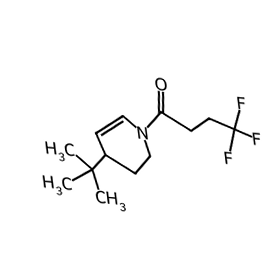 CC(C)(C)C1C=CN(C(=O)CCC(F)(F)F)CC1